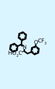 O=C(O)[C@H](Cc1cccc(OC(F)(F)F)c1)N=C(c1ccccc1)c1ccccc1